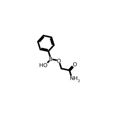 NC(=O)COB(O)c1ccccc1